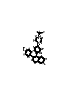 CC(C)N1CCN(c2ccc(C3=C(c4ccc(F)cc4)CCc4ccccc43)cc2)CC1